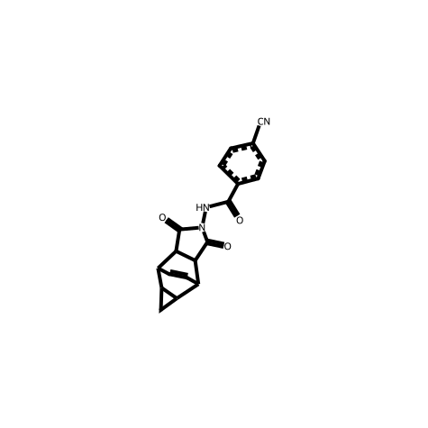 N#Cc1ccc(C(=O)NN2C(=O)C3C4C=CC(C5CC45)C3C2=O)cc1